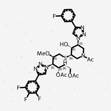 CO[C@H]1C[SH]([C@@H]2CN(C(C)=O)C[C@H](n3cc(-c4cccc(F)c4)nn3)[C@H]2O)[C@H](COC(C)=O)[C@H](OC(C)=O)[C@H]1n1cc(-c2cc(F)c(F)c(F)c2)nn1